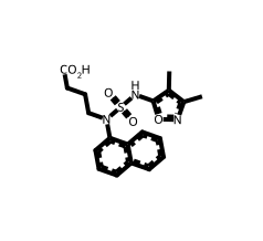 Cc1noc(NS(=O)(=O)N(CCCC(=O)O)c2cccc3ccccc23)c1C